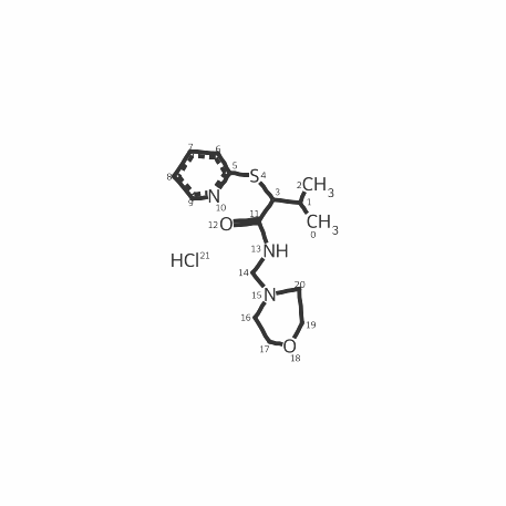 CC(C)C(Sc1ccccn1)C(=O)NCN1CCOCC1.Cl